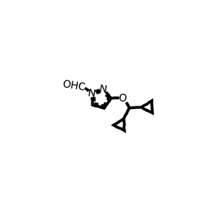 O=Cn1ccc(OC(C2CC2)C2CC2)n1